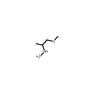 COCC(C)NP